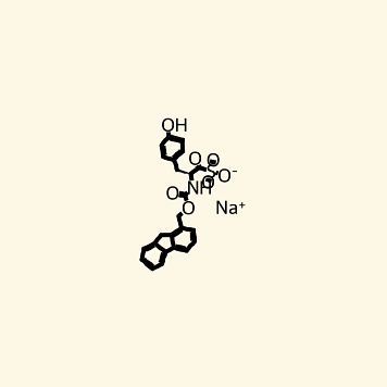 O=C(N[C@@H](Cc1ccc(O)cc1)C(=O)S(=O)(=O)[O-])OCc1cccc2c1Cc1ccccc1-2.[Na+]